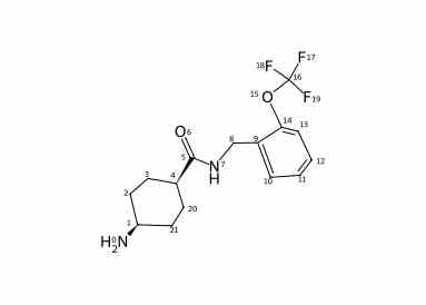 N[C@H]1CC[C@@H](C(=O)NCc2ccccc2OC(F)(F)F)CC1